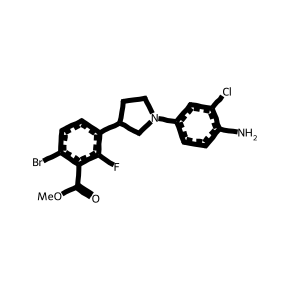 COC(=O)c1c(Br)ccc(C2CCN(c3ccc(N)c(Cl)c3)C2)c1F